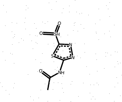 CC(=O)Nc1nnc([SH](=O)=O)s1